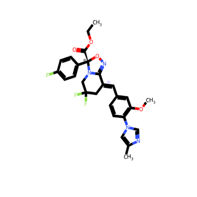 CCOC(=O)[C@@]1(c2ccc(F)cc2)ON=C2/C(=C/c3ccc(-n4cnc(C)c4)c(OC)c3)CC(F)(F)CN21